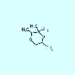 CC1COC(C)C(C)(C)O1